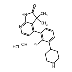 Cl.Cl.[2H]c1c(-c2ccnc3c2C(C)(C)C(=O)N3)cccc1C1CCNCC1